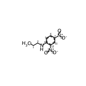 CCCNc1ccc([N+](=O)[O-])cc1[N+](=O)[O-]